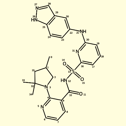 CC1CN(c2ncccc2C(=O)NS(=O)(=O)c2cccc(Nc3ccc4[nH]ncc4c3)n2)C(C)(C)C1